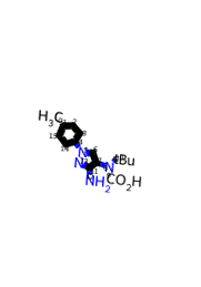 Cc1ccc(-n2cc(N(C(=O)O)C(C)(C)C)c(N)n2)cc1